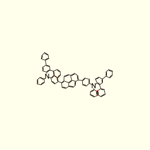 c1ccc(-c2ccc(N(c3ccccc3)c3ccc(-c4ccc5ccc6c(-c7ccc(N(c8ccccc8)c8ccc(-c9ccccc9)cc8-c8ccccc8)cc7)ccc7ccc4c5c76)cc3)c(-c3ccccc3)c2)cc1